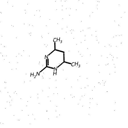 CC1CC(C)NC(N)=N1